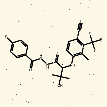 Cc1c(NC(C(=O)NNC(=O)c2ccc(F)cc2)C(C)(C)O)ccc(C#N)c1C(F)(F)F